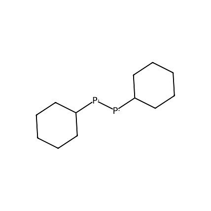 C1CCC([P][P]C2CCCCC2)CC1